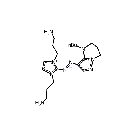 CCCCN1CCCn2ncc(/N=N/c3n(CCCN)cc[n+]3CCCN)c21